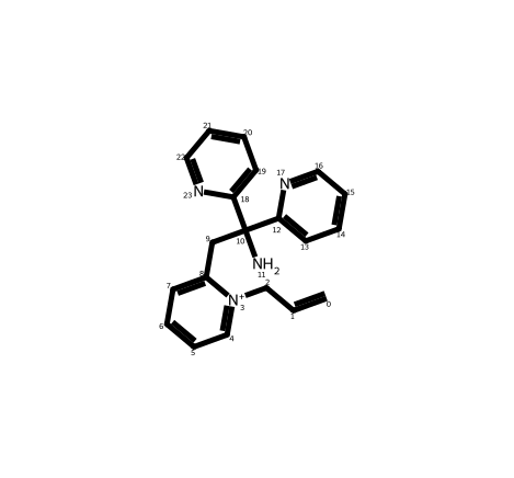 C=CC[n+]1ccccc1CC(N)(c1ccccn1)c1ccccn1